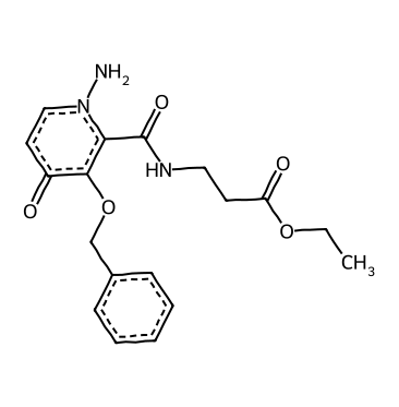 CCOC(=O)CCNC(=O)c1c(OCc2ccccc2)c(=O)ccn1N